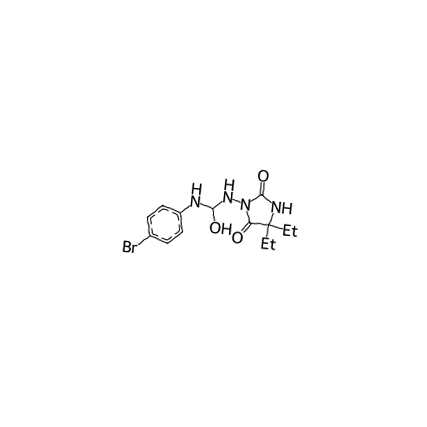 CCC1(CC)NC(=O)N(NC(O)Nc2ccc(Br)cc2)C1=O